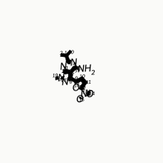 CC(C)c1nc(N)c2c(-c3ccc([N+](=O)[O-])o3)nn(C)c2n1